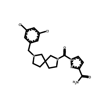 NC(=O)c1ccn(C(=O)N2CCC3(CCN(Cc4cc(Cl)cc(Cl)c4)C3)C2)n1